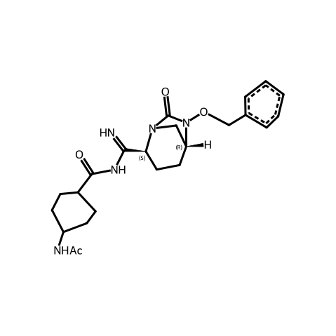 CC(=O)NC1CCC(C(=O)NC(=N)[C@@H]2CC[C@@H]3CN2C(=O)N3OCc2ccccc2)CC1